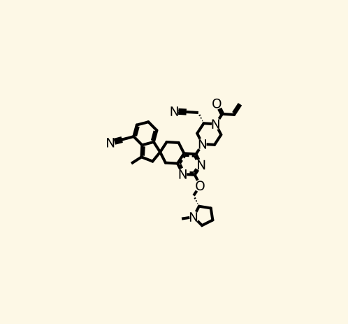 C=CC(=O)N1CCN(c2nc(OC[C@@H]3CCCN3C)nc3c2CCC2(CC(C)=C4C(C#N)=CCC=C42)C3)C[C@@H]1CC#N